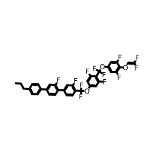 CCCc1ccc(-c2ccc(-c3ccc(C(F)(F)Oc4cc(F)c(C(F)(F)Oc5cc(F)c(OC=C(F)F)c(F)c5)c(F)c4)c(F)c3)c(F)c2)cc1